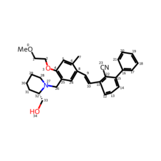 COCCOc1cc(C)c(/C=C/c2cccc(-c3ccccc3)c2C#N)cc1CN1CCCC[C@H]1CO